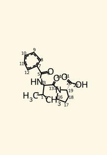 CC(C)C(NC(=O)c1ccccc1)C(=O)N1CCC[C@H]1C(=O)O